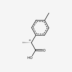 Cc1ccc([C@@H](C)C(=O)O)cc1